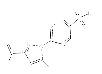 C=C(/C=N\C(=C/C)n1nc(C(=O)Cl)cc1C)S(N)(=O)=O